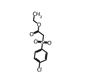 CCOC(=O)CS(=O)(=O)c1ccc(Cl)cc1